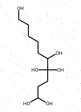 OCCCCCC(O)C(O)(O)CCC(O)O